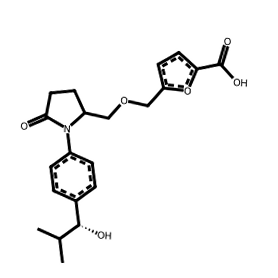 CC(C)[C@@H](O)c1ccc(N2C(=O)CCC2COCc2ccc(C(=O)O)o2)cc1